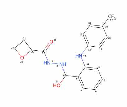 O=C(NNC(O)c1ccccc1Nc1ccc(C(F)(F)F)cc1)C1CCO1